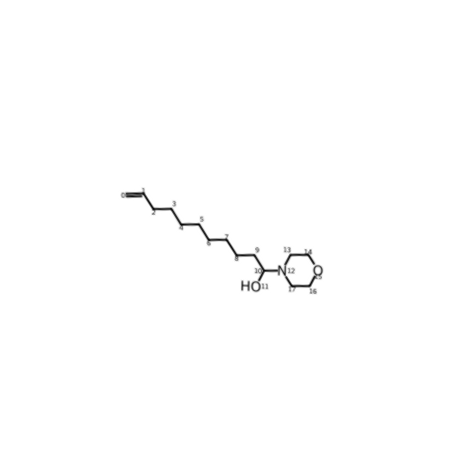 C=CCCCCCCCCC(O)N1CCOCC1